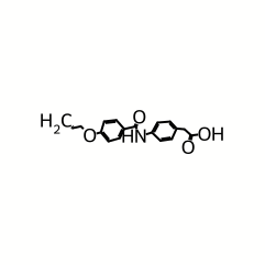 C=CCOc1ccc(C(=O)Nc2ccc(CC(=O)O)cc2)cc1